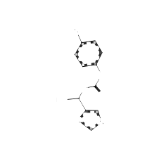 CC(OC(=O)Oc1ccc([N+](=O)[O-])cc1)c1cncs1